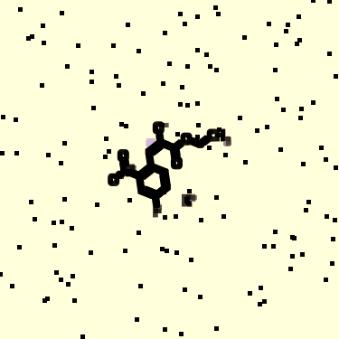 CCOC(=O)/C([O-])=C\c1ccc(F)cc1[N+](=O)[O-].[K+]